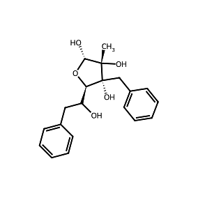 C[C@]1(O)[C@@H](O)O[C@H](C(O)Cc2ccccc2)[C@]1(O)Cc1ccccc1